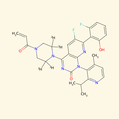 [2H]C1([2H])CN(C(=O)C=C)CC([2H])([2H])N1c1nc(=O)n(-c2c(C)ccnc2C(C)C)c2nc(-c3c(O)cccc3F)c(F)cc12